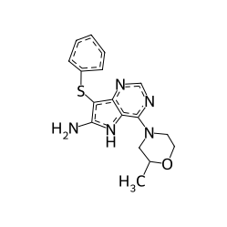 CC1CN(c2ncnc3c(Sc4ccccc4)c(N)[nH]c23)CCO1